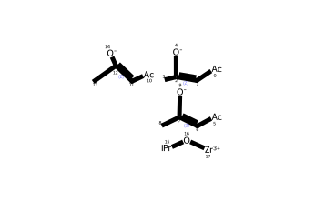 CC(=O)/C=C(/C)[O-].CC(=O)/C=C(/C)[O-].CC(=O)/C=C(/C)[O-].CC(C)[O][Zr+3]